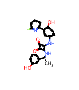 C[C@H](Nc1c(Nc2ccc(O)c(-c3cccc(F)n3)c2)c(=O)c1=O)c1cccc(O)c1